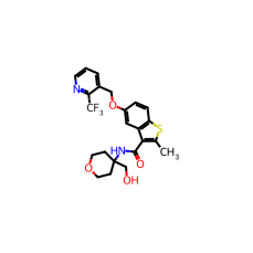 Cc1sc2ccc(OCc3cccnc3C(F)(F)F)cc2c1C(=O)NC1(CO)CCOCC1